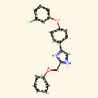 Clc1cccc(Oc2ccc(-c3c[nH]c(COc4ccccc4)n3)cc2)c1